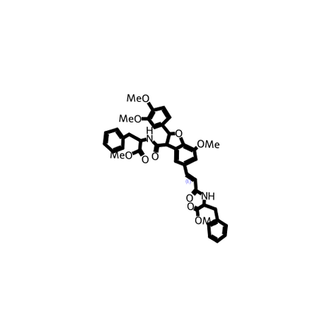 COC(=O)C(Cc1ccccc1)NC(=O)/C=C/c1cc(OC)c2c(c1)C(C(=O)NC(Cc1ccccc1)C(=O)OC)C(c1ccc(OC)c(OC)c1)O2